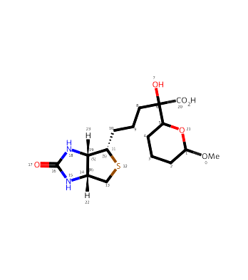 COC1CCCC(C(O)(CCC[C@@H]2SC[C@@H]3NC(=O)N[C@@H]32)C(=O)O)O1